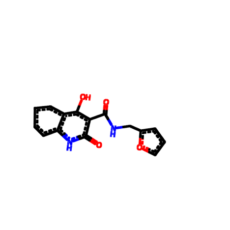 O=C(NCc1ccco1)c1c(O)c2ccccc2[nH]c1=O